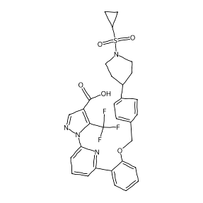 O=C(O)c1cnn(-c2cccc(-c3ccccc3OCc3ccc(C4CCN(S(=O)(=O)C5CC5)CC4)cc3)n2)c1C(F)(F)F